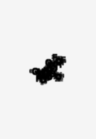 COCCN1C[C@@H]2CCCC[C@@H]2N2C(=O)c3c(OCc4ccccc4)c(=O)c(C(=O)NCc4ccc(F)cc4F)cn3C[C@@H]12